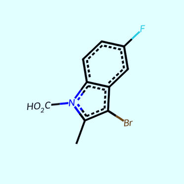 Cc1c(Br)c2cc(F)ccc2n1C(=O)O